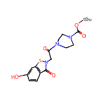 CC(C)(C)OC(=O)N1CCN(C(=O)Cn2sc3cc(O)ccc3c2=O)CC1